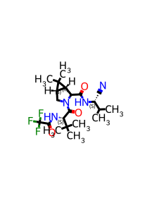 CC(C)[C@@H](C#N)NC(=O)C1[C@@H]2[C@H](CN1C(=O)[C@@H](NC(=O)C(F)(F)F)C(C)(C)C)C2(C)C